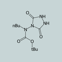 CCCCN(C(=O)OC(C)(C)C)n1c(=O)[nH][nH]c1=O